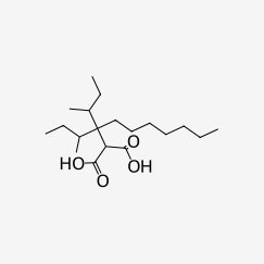 CCCCCCCC(C(C)CC)(C(C)CC)C(C(=O)O)C(=O)O